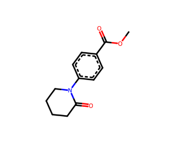 COC(=O)c1ccc(N2CCCCC2=O)cc1